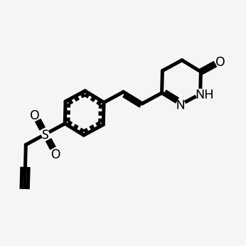 C#CCS(=O)(=O)c1ccc(C=CC2=NNC(=O)CC2)cc1